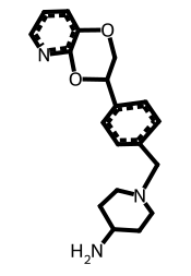 NC1CCN(Cc2ccc(C3COc4cccnc4O3)cc2)CC1